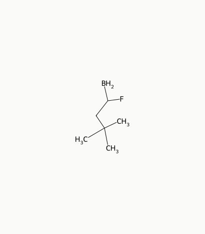 BC(F)CC(C)(C)C